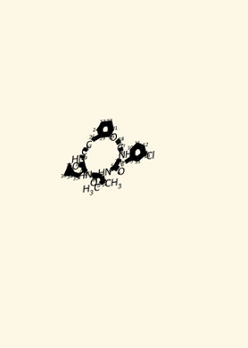 CC(C)C1NC(=O)[C@@H](Cc2cccc(Cl)c2)NCCOc2ccccc2CCCNC(=O)[C@H](CC2CC2)NC1=O